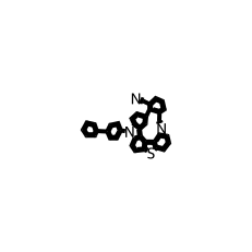 N#Cc1cccc(C#N)c1-c1ccc2c(c1)c1c3c(ccc1n2-c1ccc(-c2ccccc2)cc1)sc1ccccc13